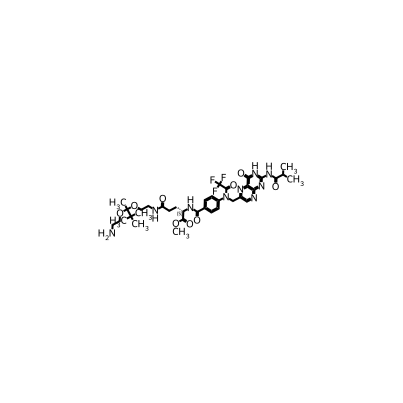 COC(=O)[C@H](CCC(=O)NCCOC(C)(OCCN)C(C)(C)C)NC(=O)c1ccc(N(Cc2cnc3nc(NC(=O)C(C)C)[nH]c(=O)c3n2)C(=O)C(F)(F)F)cc1